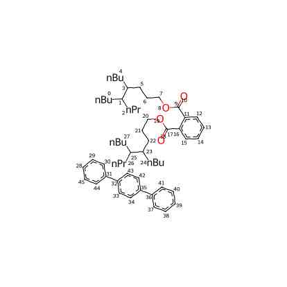 CCCCC(CCC)C(CCCC)CCCOC(=O)c1ccccc1C(=O)OCCCC(CCCC)C(CCC)CCCC.c1ccc(-c2ccc(-c3ccccc3)cc2)cc1